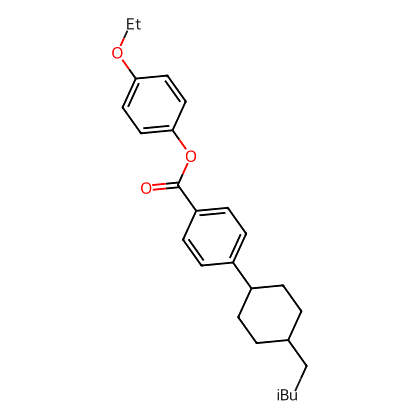 CCOc1ccc(OC(=O)c2ccc(C3CCC(CC(C)CC)CC3)cc2)cc1